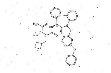 CCCC[C@H](C(N)=O)[C@@H](CC1CCC1)C(=O)N[C@@H]1C(=O)N(Cc2cccc(Oc3ccccc3)c2)c2ccccc2-c2ccccc21